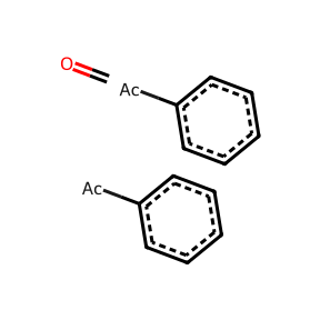 C=O.CC(=O)c1ccccc1.CC(=O)c1ccccc1